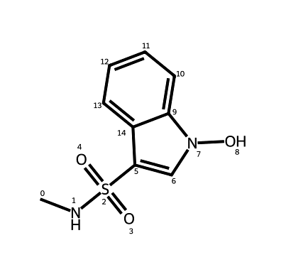 CNS(=O)(=O)c1cn(O)c2ccccc12